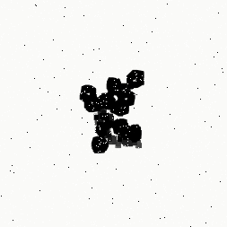 CC1(C)c2ccccc2-c2ccc(-c3nc(-n4c5ccc(-c6cccc7c6c6c8ccccc8ccc6n7-c6ccccc6)cc5c5c6ccccc6ccc54)nc4cc(-c5ccccc5)sc34)cc21